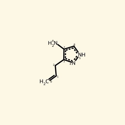 C=CCc1n[nH]cc1N